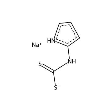 S=C([S-])Nc1ccc[nH]1.[Na+]